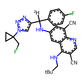 [2H]C(Nc1cc(C#N)c2ncc(C#N)c(NCC(C)(C)C)c2c1)(c1ccc(F)cc1)c1cn(C2(CF)CC2)nn1